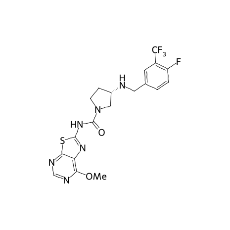 COc1ncnc2sc(NC(=O)N3CC[C@H](NCc4ccc(F)c(C(F)(F)F)c4)C3)nc12